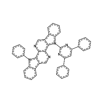 c1ccc(-c2cc(-c3ccccc3)nc(-n3c4ccccc4c4cnc5c(ncc6c7ccccc7n(-c7ccccc7)c65)c43)n2)cc1